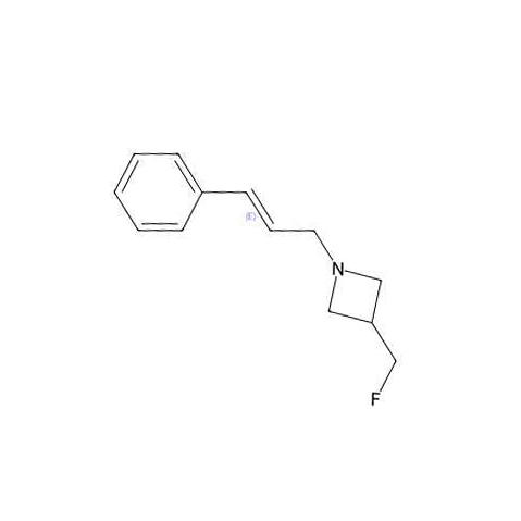 FCC1CN(C/C=C/c2ccccc2)C1